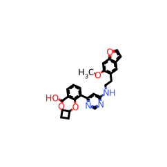 COc1cc2occc2cc1CCNc1cc(-c2cccc(C(=O)O)c2OC2CCC2)ncn1